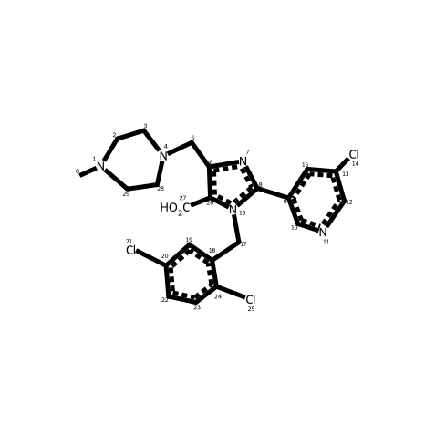 CN1CCN(Cc2nc(-c3cncc(Cl)c3)n(Cc3cc(Cl)ccc3Cl)c2C(=O)O)CC1